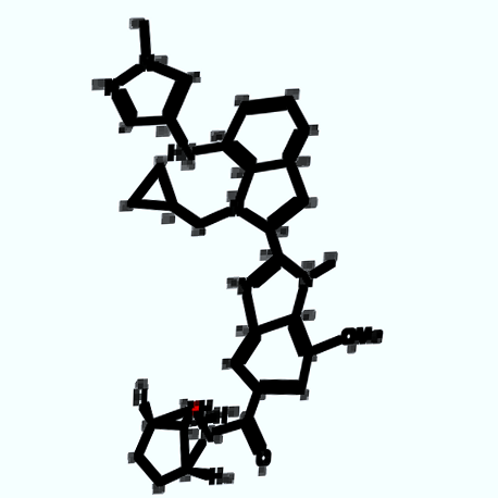 COc1cc(C(=O)N2C[C@H]3CC[C@@H]2[C@@H]3N)cc2nc(-c3cc4cccc(Nc5cnn(C)c5)c4n3CC3CC3)n(C)c12